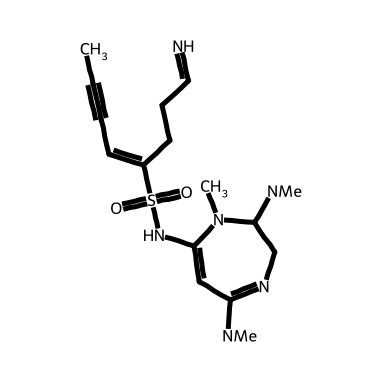 CC#C/C=C(\CCC=N)S(=O)(=O)NC1=CC(NC)=NCC(NC)N1C